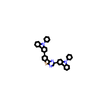 c1ccc(-n2c3ccccc3c3cc(-c4ccc5sc6ncc(-c7ccc8c(c7)c7ccccc7n8-c7ccccc7)nc6c5c4)ccc32)cc1